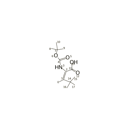 CC(=C(NC(=O)OC(C)(C)C)C(=O)O)C(C)(C)C